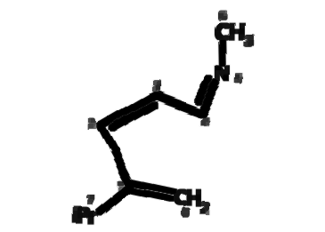 C=C(/C=C\C=N/C)C(C)C